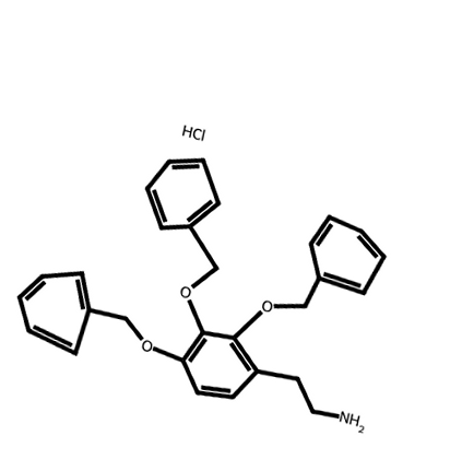 Cl.NCCc1ccc(OCc2ccccc2)c(OCc2ccccc2)c1OCc1ccccc1